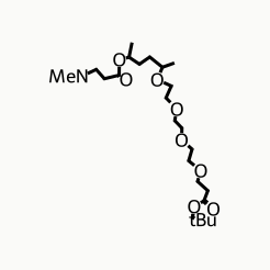 CNCCC(=O)OC(C)CCC(C)OCCOCCOCCOCCC(=O)OC(C)(C)C